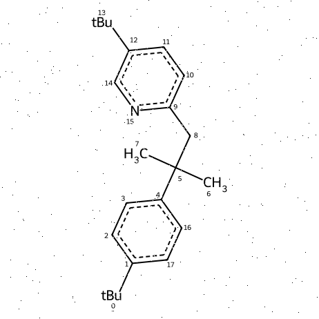 CC(C)(C)c1ccc(C(C)(C)Cc2ccc(C(C)(C)C)cn2)cc1